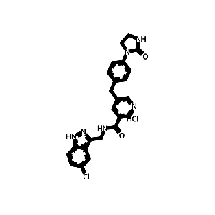 Cl.O=C(NCc1n[nH]c2ccc(Cl)cc12)c1cncc(Cc2ccc(N3CCNC3=O)cc2)c1